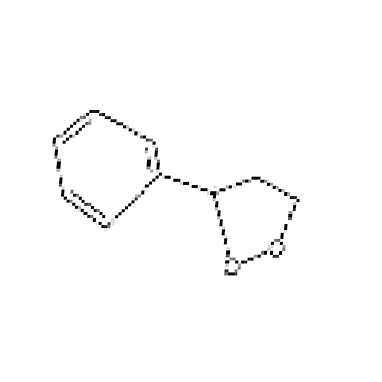 c1ccc([C]2CCOO2)cc1